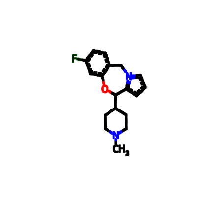 CN1CCC(C2Oc3cc(F)ccc3Cn3cccc32)CC1